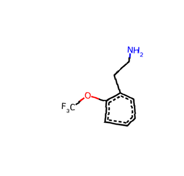 NCCc1ccccc1OC(F)(F)F